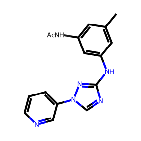 CC(=O)Nc1cc(C)cc(Nc2ncn(-c3cccnc3)n2)c1